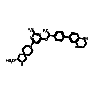 Nc1nc(OC(c2ccc(-c3ccc4c(c3)NCCN4)cc2)C(F)(F)F)cc(N2CCC3(CC2)CN[C@H](C(=O)O)C3)n1